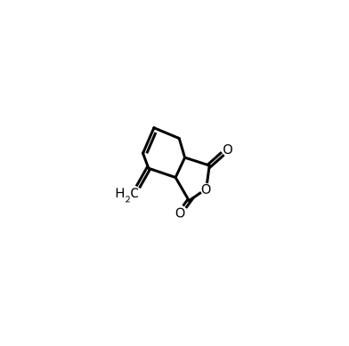 C=C1C=CCC2C(=O)OC(=O)C12